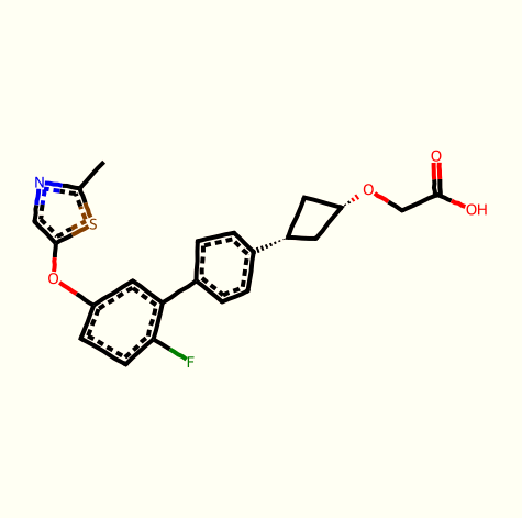 Cc1ncc(Oc2ccc(F)c(-c3ccc([C@H]4C[C@@H](OCC(=O)O)C4)cc3)c2)s1